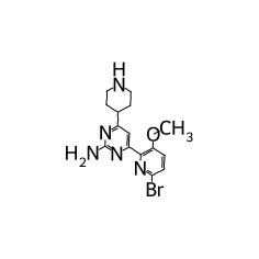 COc1ccc(Br)nc1-c1cc(C2CCNCC2)nc(N)n1